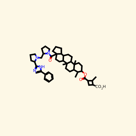 CC1C(C(=O)O)CC1C(=O)OC1CCC2(C)C(CCC3(C)C4CCC5(C(=O)N6CCCC6CN6CCCC6c6ncc(-c7ccccc7)[nH]6)CCCC5C4CCC23)C1C